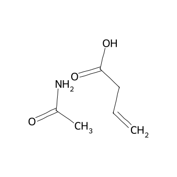 C=CCC(=O)O.CC(N)=O